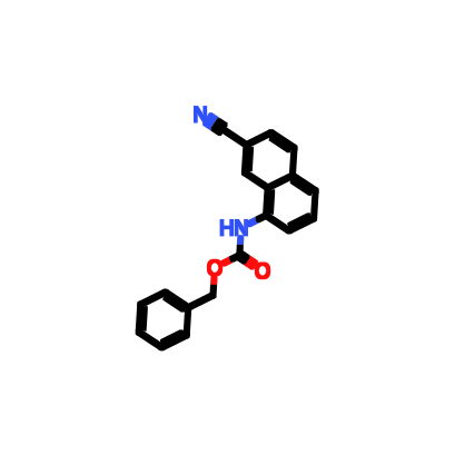 N#Cc1ccc2cccc(NC(=O)OCc3ccccc3)c2c1